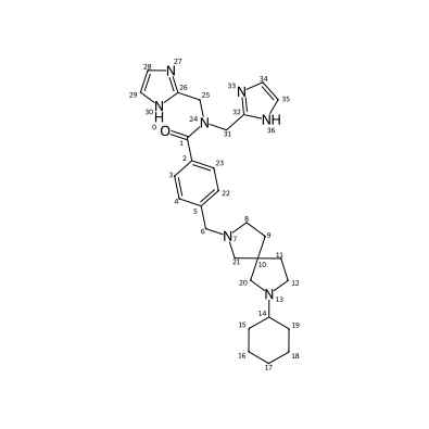 O=C(c1ccc(CN2CCC3(CCN(C4CCCCC4)C3)C2)cc1)N(Cc1ncc[nH]1)Cc1ncc[nH]1